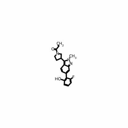 C=CC(=O)N1CCC(c2c3ccc(-c4c(O)cccc4F)cc3nn2C)C1